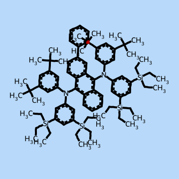 CC[Si](CC)(CC)c1cc(N(c2cc(C(C)(C)C)cc(C(C)(C)C)c2)c2c3ccccc3c(N(c3cc(C(C)(C)C)cc(C(C)(C)C)c3)c3cc([Si](CC)(CC)CC)cc([Si](CC)(CC)CC)c3)c3cc(-c4ccccc4)ccc23)cc([Si](CC)(CC)CC)c1